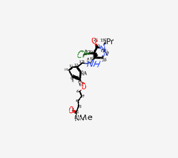 CNC(=O)CCCCOc1cccc(CNc2cnn(C(C)C)c(=O)c2Cl)c1